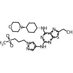 CCc1nc2c(N[C@H]3CC[C@H](N4CCOCC4)CC3)nc(Nc3cnn(CCCS(C)(=O)=O)c3)nc2s1